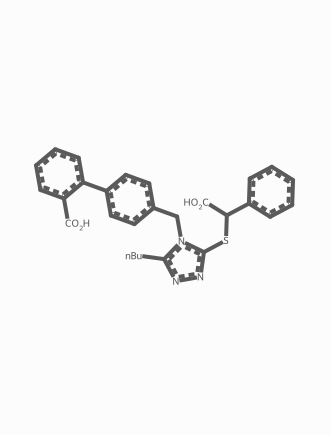 CCCCc1nnc(SC(C(=O)O)c2ccccc2)n1Cc1ccc(-c2ccccc2C(=O)O)cc1